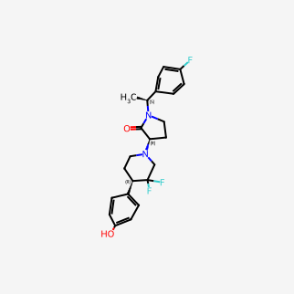 C[C@@H](c1ccc(F)cc1)N1CC[C@@H](N2CC[C@H](c3ccc(O)cc3)C(F)(F)C2)C1=O